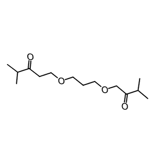 CC(C)C(=O)CCOCCCOCC(=O)C(C)C